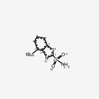 CC(C)(C)c1cccc2sc(S(N)(=O)=O)nc12